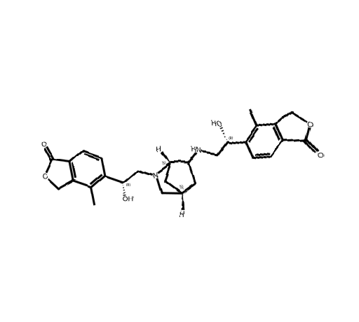 Cc1c([C@@H](O)CNC2C[C@H]3C[C@@H]2N(C[C@H](O)c2ccc4c(c2C)COC4=O)C3)ccc2c1COC2=O